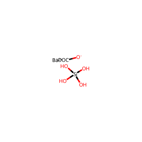 O=C([O-])[O-].O[Si](O)(O)O.[Ba+2]